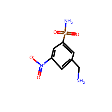 NCc1cc([N+](=O)[O-])cc(S(N)(=O)=O)c1